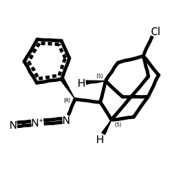 [N-]=[N+]=N[C@@H](c1ccccc1)C1[C@H]2CC3C[C@H]1CC(Cl)(C3)C2